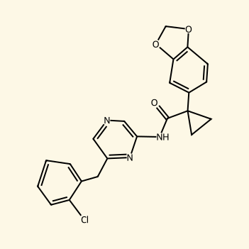 O=C(Nc1cncc(Cc2ccccc2Cl)n1)C1(c2ccc3c(c2)OCO3)CC1